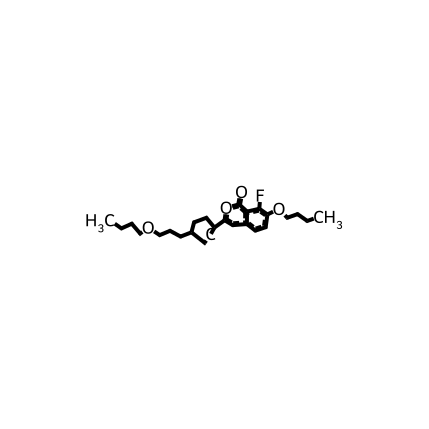 CCCCOCCCC1CCC(c2cc3ccc(OCCCC)c(F)c3c(=O)o2)CC1